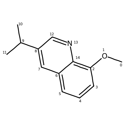 COc1cccc2cc(C(C)C)cnc12